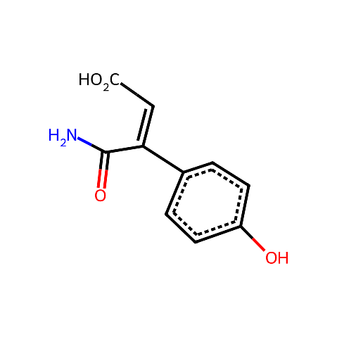 NC(=O)C(=CC(=O)O)c1ccc(O)cc1